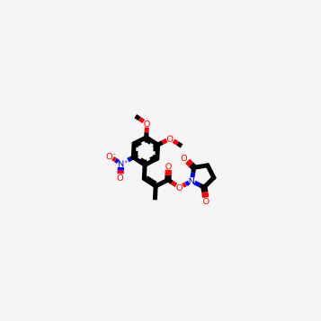 COc1cc(C=C(C)C(=O)ON2C(=O)CCC2=O)c([N+](=O)[O-])cc1OC